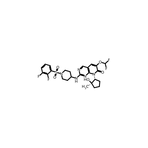 C[C@@]1(O)CCC[C@H]1n1c(=O)c(OC(F)F)cc2cnc(NC3CCN(S(=O)(=O)c4cccc(F)c4F)CC3)nc21